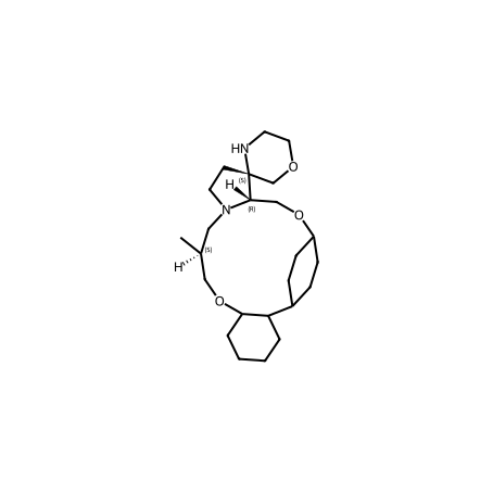 C[C@@H]1COC2CCCCC2C2CCC(CC2)OC[C@@H]2N(CC[C@@]23COCCN3)C1